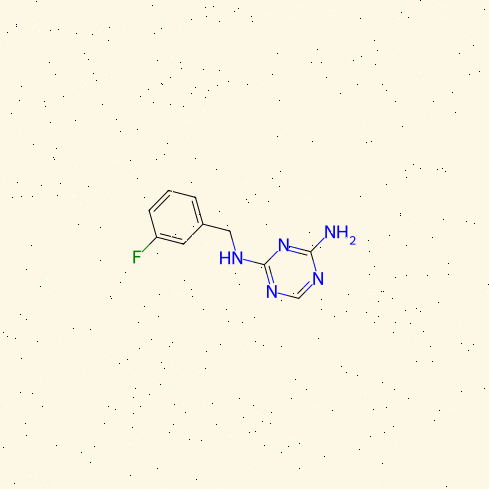 Nc1ncnc(NCc2cccc(F)c2)n1